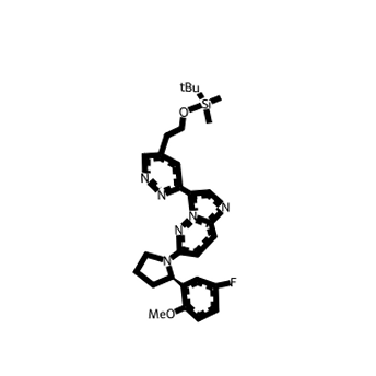 COc1ccc(F)cc1[C@H]1CCCN1c1ccc2ncc(-c3cc(CCO[Si](C)(C)C(C)(C)C)cnn3)n2n1